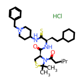 CC(C)CC(=O)N1[C@H](C(=O)N[C@H](CCC2CCCCC2)C(=S)NC2CCN(Cc3ccccc3)CC2)CSC1(C)C.Cl